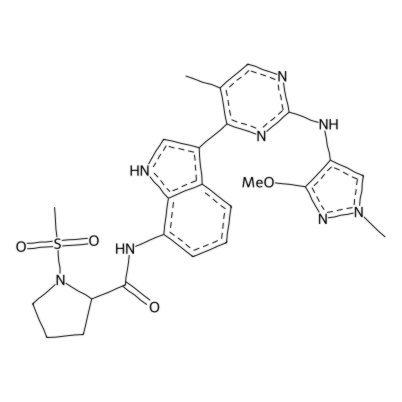 COc1nn(C)cc1Nc1ncc(C)c(-c2c[nH]c3c(NC(=O)C4CCCN4S(C)(=O)=O)cccc23)n1